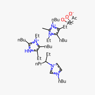 CC(=O)[O-].CC(=O)[O-].CC(=O)[O-].CCCCc1[nH]c(CC)c(CCCC)[n+]1CC.CCCCc1c(CC)[n+](CCCC)c(C)n1CC.CCCCn1cc[n+](C(CC)CCC)c1